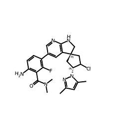 Cc1cc(C)n([C@@H]2C[C@@]3(CNc4ncc(-c5ccc(N)c(C(=O)N(C)C)c5F)cc43)CC2Cl)n1